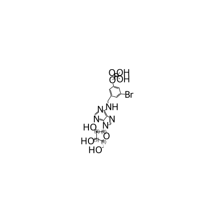 O=P(O)(O)Oc1cc(Br)cc(CNc2ncnc3c2ncn3[C@@H]2O[C@H](CO)[C@@H](O)[C@H]2O)c1